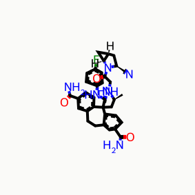 C[C@@H](CC1(C(=N)Nc2ccc(F)cc2)c2ccc(C(N)=O)cc2CCc2cc(C(N)=O)ccc21)NCC(=O)N1[C@H](C#N)C[C@@H]2C[C@@H]21